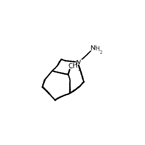 CC1C2CCC1CN(N)C2